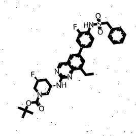 CCc1cc(-c2ccc(NS(=O)(=O)Cc3ccccc3)c(F)c2)cc2cnc(N[C@H]3C[C@H](F)CN(C(=O)OC(C)(C)C)C3)nc12